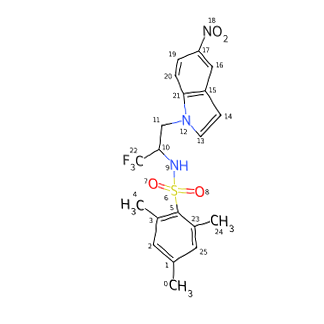 Cc1cc(C)c(S(=O)(=O)NC(Cn2ccc3cc([N+](=O)[O-])ccc32)C(F)(F)F)c(C)c1